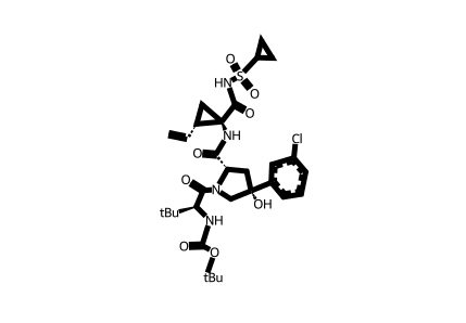 C=C[C@@H]1C[C@]1(NC(=O)[C@@H]1C[C@@](O)(c2cccc(Cl)c2)CN1C(=O)[C@@H](NC(=O)OC(C)(C)C)C(C)(C)C)C(=O)NS(=O)(=O)C1CC1